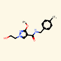 CC(C)Oc1nn(CCO)cc1C(=O)NCc1ccc(C(F)(F)F)cc1